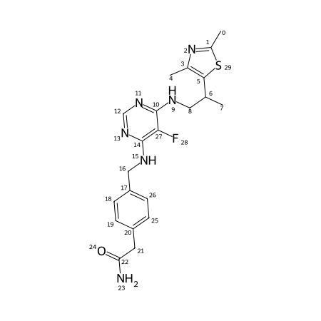 Cc1nc(C)c(C(C)CNc2ncnc(NCc3ccc(CC(N)=O)cc3)c2F)s1